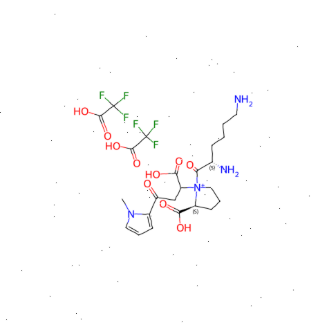 Cn1cccc1C(=O)CC(C(=O)O)[N+]1(C(=O)[C@@H](N)CCCCN)CCC[C@H]1C(=O)O.O=C(O)C(F)(F)F.O=C(O)C(F)(F)F